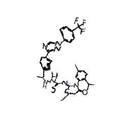 Cc1ccc(C(C)C)c(N2C(=O)CS/C2=N\C(=S)NNC(C)c2ccc(-c3ncn(-c4ccc(C(F)(F)F)cc4)n3)cc2)c1